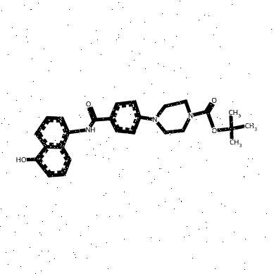 CC(C)(C)OC(=O)N1CCN(c2ccc(C(=O)Nc3cccc4c(O)cccc34)cc2)CC1